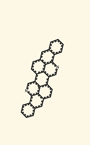 c1ccc2c(c1)cc1ccc3c4cnc5c6ccccc6cc6ccc(c7cnc2c1c37)c4c65